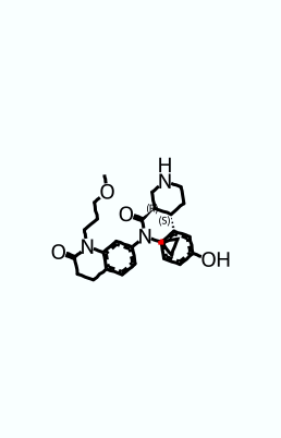 COCCCN1C(=O)CCc2ccc(N(C(=O)[C@H]3CNCC[C@@H]3c3cccc(O)c3)C3CC3)cc21